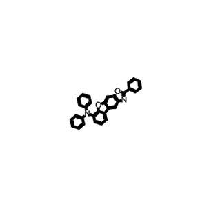 c1ccc(-c2nc3cc4c(cc3o2)oc2c(N(c3ccccc3)c3ccccc3)cccc24)cc1